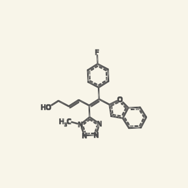 Cn1nnnc1C(C=CCO)=C(c1ccc(F)cc1)c1cc2ccccc2o1